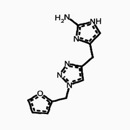 Nc1nc(Cc2cn(Cc3ccco3)nn2)c[nH]1